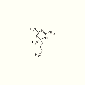 CCCCC1(N)N=C(N)N=C(N)N1